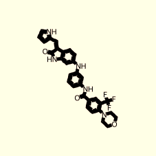 O=C1Nc2cc(Nc3cccc(NC(=O)c4ccc(N5CCOCC5)c(C(F)(F)F)c4)c3)ccc2C1=Cc1ccc[nH]1